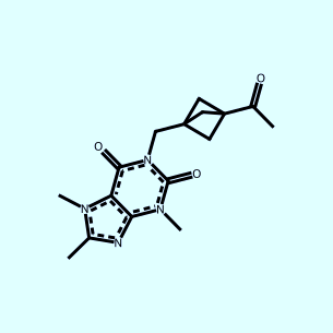 CC(=O)C12CC(Cn3c(=O)c4c(nc(C)n4C)n(C)c3=O)(C1)C2